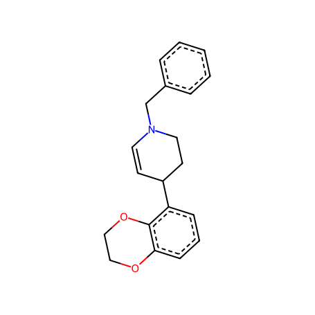 C1=CN(Cc2ccccc2)CCC1c1cccc2c1OCCO2